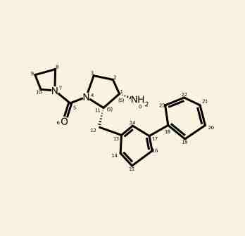 N[C@H]1CCN(C(=O)N2CCC2)[C@H]1Cc1cccc(-c2ccccc2)c1